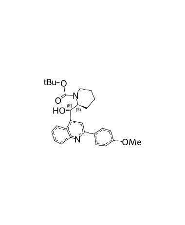 COc1ccc(-c2cc([C@@H](O)[C@@H]3CCCCN3C(=O)OC(C)(C)C)c3ccccc3n2)cc1